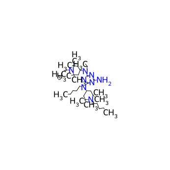 CCCCCN(c1nc(N)nc(N(CC)C2CC(C)(C)N(CC)C(C)(C)C2)n1)C1CC(C)(C)N(CCCCC)C(C)(C)C1